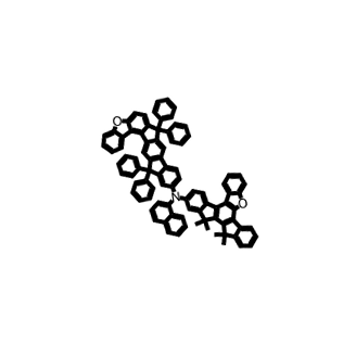 CC1(C)c2ccccc2-c2c1c1c(c3c2oc2ccccc23)-c2ccc(N(c3ccc4c(c3)C(c3ccccc3)(c3ccccc3)c3cc5c(cc3-4)C(c3ccccc3)(c3ccccc3)c3ccc4oc6ccccc6c4c3-5)c3cccc4ccccc34)cc2C1(C)C